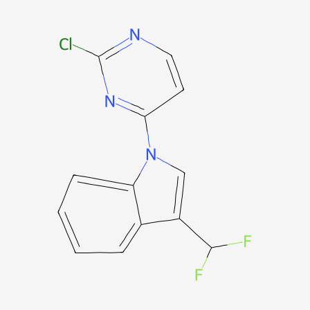 FC(F)c1cn(-c2ccnc(Cl)n2)c2ccccc12